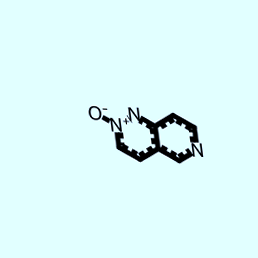 [O-][n+]1ccc2cnccc2n1